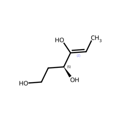 C/C=C(\O)[C@@H](O)CCO